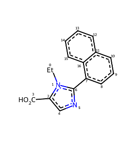 CCn1c(C(=O)O)cnc1-c1cccc2ccccc12